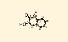 Cn1c(=O)c(O)cc2ccccc21